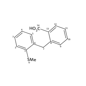 CSc1ccccc1Cc1ccccc1C(=O)O